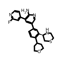 Nc1ncc(-c2ccc(C3CCOCC3)c([C@@H]3CSCCN3)c2)cc1-c1ccnc(F)c1